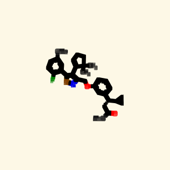 COC(=O)C[C@H](c1cccc(OCc2nsc(-c3cc(OC)ccc3F)c2C2=CCCC2(C)C)c1)C1CC1